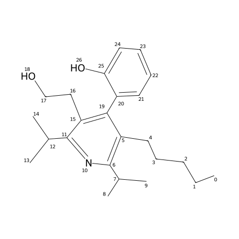 CCCCCc1c(C(C)C)nc(C(C)C)c(CCO)c1-c1ccccc1O